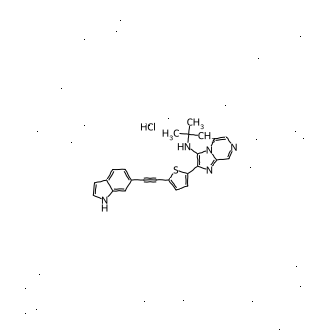 CC(C)(C)Nc1c(-c2ccc(C#Cc3ccc4cc[nH]c4c3)s2)nc2cnccn12.Cl